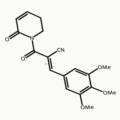 COc1cc(/C=C(\C#N)C(=O)N2CCC=CC2=O)cc(OC)c1OC